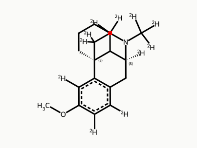 [2H]c1c([2H])c(OC)c([2H])c2c1C[C@@]1([2H])C3CCCC[C@@]23C([2H])([2H])C([2H])([2H])N1C([2H])([2H])[2H]